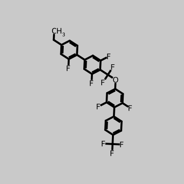 CCc1ccc(-c2cc(F)c(C(F)(F)Oc3cc(F)c(-c4ccc(C(F)(F)F)cc4)c(F)c3)c(F)c2)c(F)c1